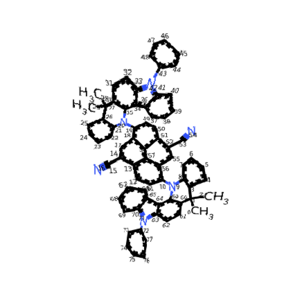 CC1(C)c2ccccc2N(c2ccc3c(C#N)cc4c(N5c6ccccc6C(C)(C)c6ccc7c(c65)c5ccccc5n7-c5ccccc5)ccc5c(C#N)cc2c3c54)c2c1ccc1c2c2ccccc2n1-c1ccccc1